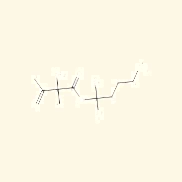 C=C(C)C(C)(C(=O)OC(CC)(CC)CCCC(F)(F)F)C(C)(C)C